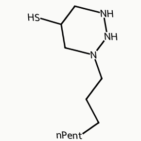 CCCCCCCCN1CC(S)CNN1